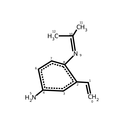 C=Cc1cc(N)ccc1N=C(C)C